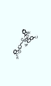 CN(C)C[C@H]1Cc2cc(Cl)ccc2N(C(=O)[C@@H](Cc2c[nH]c3ccccc23)NC(=O)CCC2CCN(C(=O)c3ccccc3O)CC2)C1